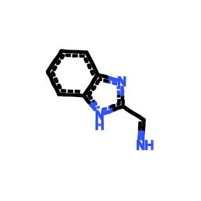 N=Cc1nc2ccccc2[nH]1